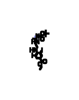 CCOC(=O)c1cc(I)c(NCCN/C(C)=N\C(=O)OC(C)(C)C)c(I)c1